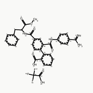 COC(=O)C(Cc1ccccc1)NC(=O)c1ccc(-c2ccccc2C(=O)O)c(C(=O)Nc2ccc(C(=N)N)cc2)c1.O=C(O)C(F)(F)F